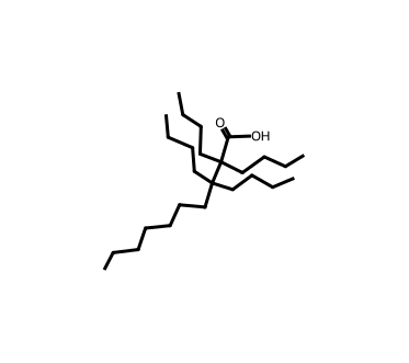 CCCCCCCC(CCCC)(CCCC)C(CCCC)(CCCC)C(=O)O